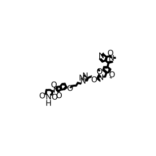 COc1cc(-c2cn(C)c(=O)c3cnccc23)cc(OC)c1CN1CC(OCc2cn(CCCCOc3ccc4c(c3)C(=O)N(C3CCC(=O)NC3=O)C4=O)nn2)C1